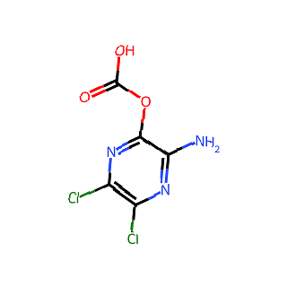 Nc1nc(Cl)c(Cl)nc1OC(=O)O